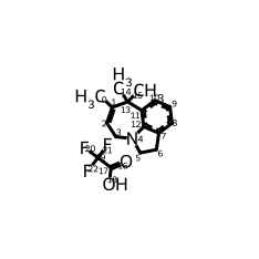 CC1=CCN2CCc3cccc(c32)C1(C)C.O=C(O)C(F)(F)F